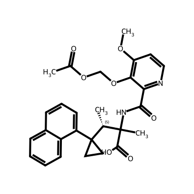 COc1ccnc(C(=O)NC(C)(C(=O)O)[C@@H](C)C2(c3cccc4ccccc34)CC2)c1OCOC(C)=O